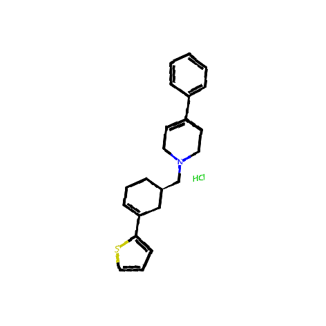 C1=C(c2ccccc2)CCN(C[C@@H]2CCC=C(c3cccs3)C2)C1.Cl